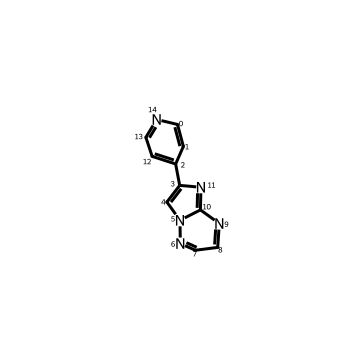 c1cc(-c2cn3nccnc3n2)ccn1